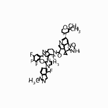 C[C@H]1c2c(nn(-c3cc(F)c(F)c(F)c3)c2-n2ccn(-c3ccc4c(cnn4C)c3F)c2=O)CCN1C(=O)c1cn2cc([C@@H]3CCOC(C)(C)C3)ccc2c1C1(C2=NOCN2)CC1